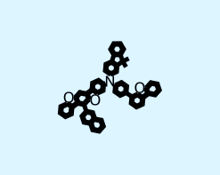 CC1(C)c2ccccc2-c2ccc(N(c3ccc(-c4cccc5c4oc4ccccc45)cc3)c3ccc4c(c3)oc3c(-c5ccc6ccccc6c5)c5c(cc34)oc3ccccc35)cc21